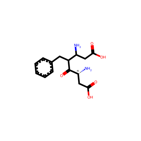 NC(CC(=O)O)C(Cc1ccccc1)C(=O)[C@H](N)CC(=O)O